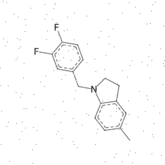 Cc1ccc2c(c1)CCN2Cc1ccc(F)c(F)c1